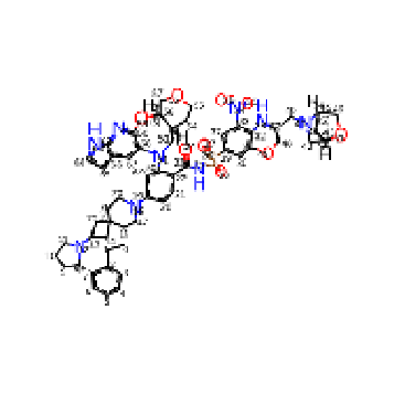 CCc1ccccc1[C@@H]1CCCN1C1CC2(CCN(c3ccc(C(=O)NS(=O)(=O)c4cc5c(c([N+](=O)[O-])c4)N[C@@H](CN4C[C@@H]6C[C@H]4CO6)CO5)c(N4C[C@H]5CCOC[C@H]5Oc5nc6[nH]ccc6cc54)c3)CC2)C1